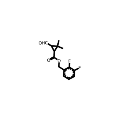 CC1(C)C(C=O)C1C(=O)OCc1cccc(F)c1F